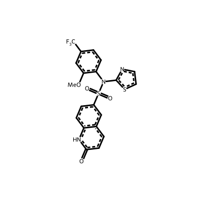 COc1cc(C(F)(F)F)ccc1N(c1nccs1)S(=O)(=O)c1ccc2[nH]c(=O)ccc2c1